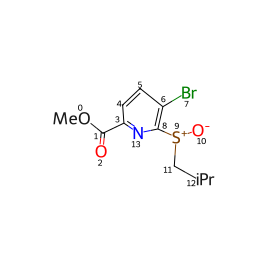 COC(=O)c1ccc(Br)c([S+]([O-])CC(C)C)n1